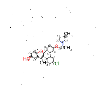 CC1=C(c2ccc(Cl)cc2)C(c2ccc(OCC(C)N3CCC(C)C3)cc2)Oc2ccc(O)cc21